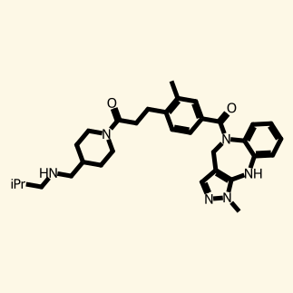 Cc1cc(C(=O)N2Cc3cnn(C)c3Nc3ccccc32)ccc1CCC(=O)N1CCC(CNCC(C)C)CC1